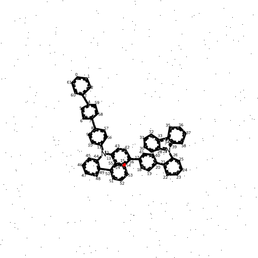 c1ccc(-c2ccc(-c3ccc(N(c4ccc(-c5ccc(-c6ccccc6-n6c7ccccc7c7ccccc76)cc5)cc4)c4ccccc4-c4ccccc4)cc3)cc2)cc1